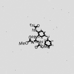 CCC(=O)Nc1ccc(Sc2ccccc2)cc1NC(=NC(=O)OC)NC(=O)OC